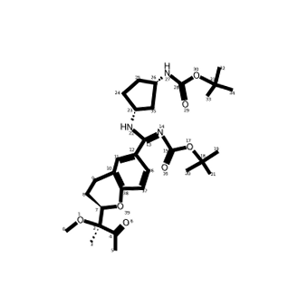 CO[C@](C)(C(C)=O)[C@H]1CCc2cc(/C(=N\C(=O)OC(C)(C)C)N[C@@H]3CC[C@H](NC(=O)OC(C)(C)C)C3)ccc2O1